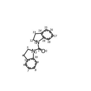 O=C(N1CCc2ccccc21)N1CCc2ccccc21